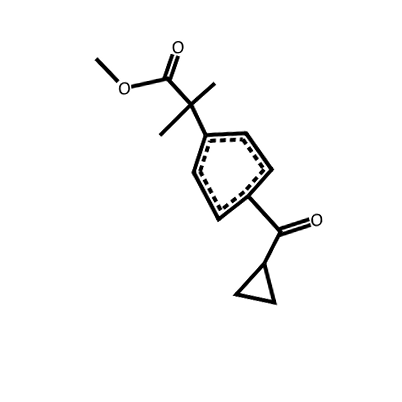 COC(=O)C(C)(C)c1ccc(C(=O)C2CC2)cc1